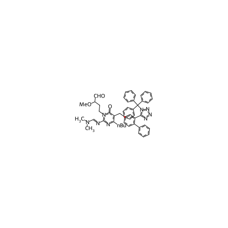 CCCCc1nc(N=CN(C)C)n(CCC(C=O)OC)c(=O)c1Cc1ccc(-c2ccccc2)c(-c2nnnn2C(c2ccccc2)(c2ccccc2)c2ccccc2)c1